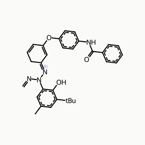 C=NN(/N=C1/C=C(Oc2ccc(NC(=O)c3ccccc3)cc2)C=CC1)c1cc(C)cc(C(C)(C)C)c1O